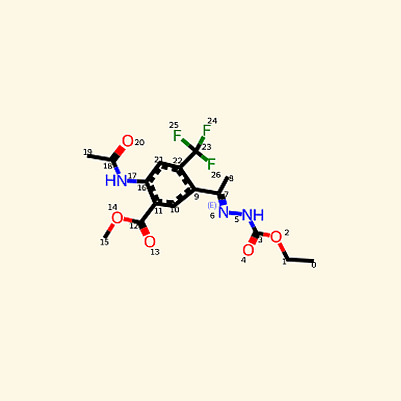 CCOC(=O)N/N=C(\C)c1cc(C(=O)OC)c(NC(C)=O)cc1C(F)(F)F